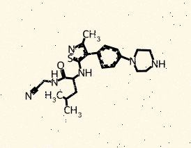 Cc1nsc(NC(CC(C)C)C(=O)NCC#N)c1-c1ccc(N2CCNCC2)cc1